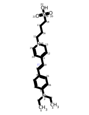 CCN(CC)c1ccc(/C=C/C2=CCN(CCCCS(=O)(=O)O)C=C2)cc1